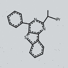 CC(C)C(C)c1nc(-c2ccccc2)c2sc3ccccc3c2n1